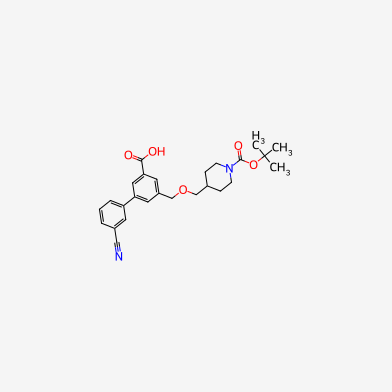 CC(C)(C)OC(=O)N1CCC(COCc2cc(C(=O)O)cc(-c3cccc(C#N)c3)c2)CC1